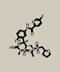 CCN(C[C@H]1[C@@](C)(c2cc(NC(=O)c3ccc(F)cn3)ccc2F)NC(=N)N(C)S1(=O)=O)S(=O)(=O)CC1CCCO1